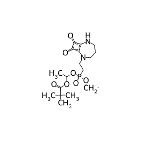 [CH2]OP(=O)(CCN1CCCNc2c1c(=O)c2=O)OC(C)OC(=O)C(C)(C)C